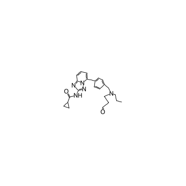 CCCN(CCC=O)Cc1ccc(-c2cccc3nc(NC(=O)C4CC4)nn23)cc1